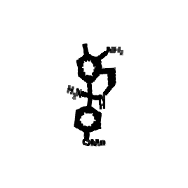 COc1ccc(C2(N)NC=Cc3c2ccc(C)c3N)cc1